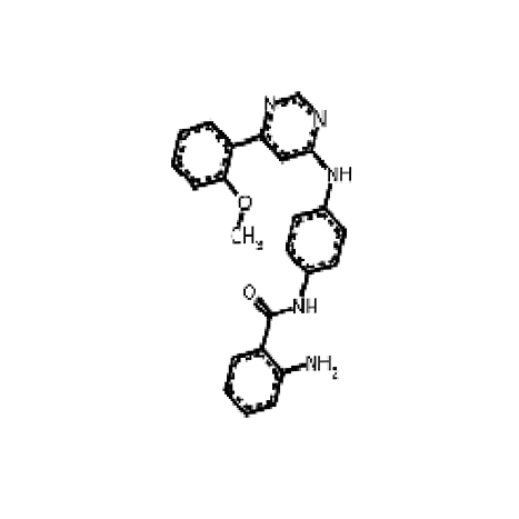 COc1ccccc1-c1cc(Nc2ccc(NC(=O)c3ccccc3N)cc2)ncn1